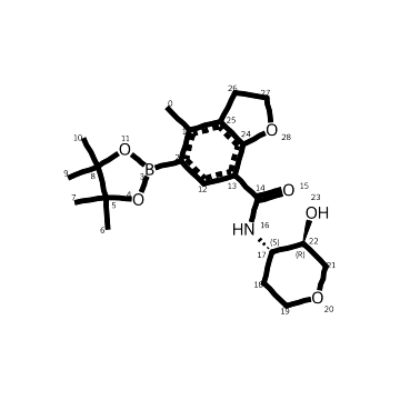 Cc1c(B2OC(C)(C)C(C)(C)O2)cc(C(=O)N[C@H]2CCOC[C@@H]2O)c2c1CCO2